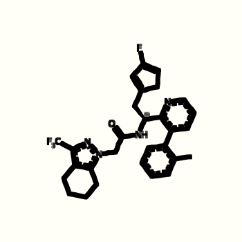 Cc1ccccc1-c1cccnc1[C@H](CC1=CC(F)=CC1)NC(=O)Cn1nc(C(F)(F)F)c2c1CCCC2